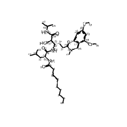 CCCCCCCCC(=O)N[C@@H](CC(C)C)C(=O)N[C@@H](CCC(=O)N(C)Cc1ccc(OC)cc1OC)C(O)C(=O)NC(C)C